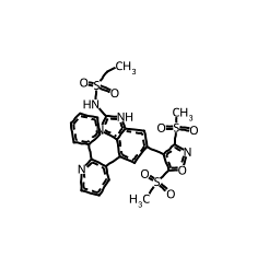 CCS(=O)(=O)Nc1nc2c(-c3cccnc3-c3ccccc3)cc(-c3c(S(C)(=O)=O)noc3S(C)(=O)=O)cc2[nH]1